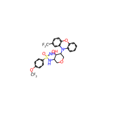 N=S(=O)(NC1COCC(N2c3ccccc3Oc3ccc(C(F)(F)F)cc32)C1O)c1ccc(OC(F)(F)F)cc1